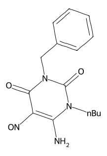 CCCCn1c(N)c(N=O)c(=O)n(Cc2ccccc2)c1=O